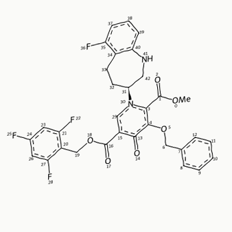 COC(=O)c1c(OCc2ccccc2)c(=O)c(C(=O)OCc2c(F)cc(F)cc2F)cn1[C@H]1CCc2c(F)cccc2NC1